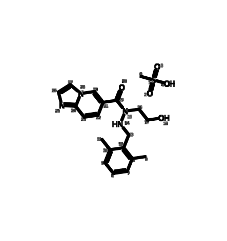 CS(=O)(=O)O.Cc1cccc(C)c1CNN(CCO)C(=O)c1ccc2nccn2c1